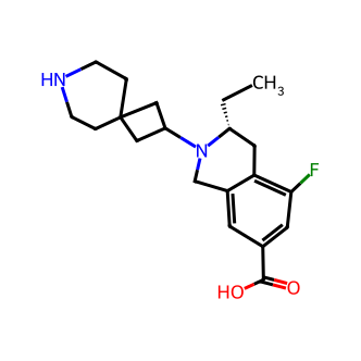 CC[C@@H]1Cc2c(F)cc(C(=O)O)cc2CN1C1CC2(CCNCC2)C1